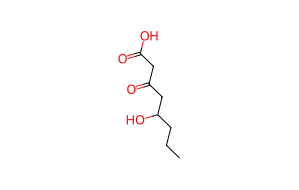 CCCC(O)CC(=O)CC(=O)O